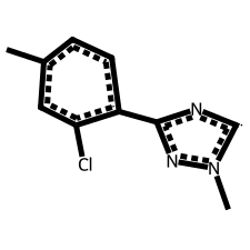 Cc1ccc(-c2n[c]n(C)n2)c(Cl)c1